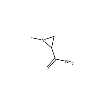 C=C(N)C1CN1C